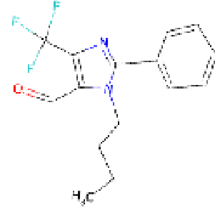 CCCCn1c(-c2ccccc2)nc(C(F)(F)F)c1C=O